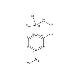 CSc1ccc2c(c1)CCCC2(C)C